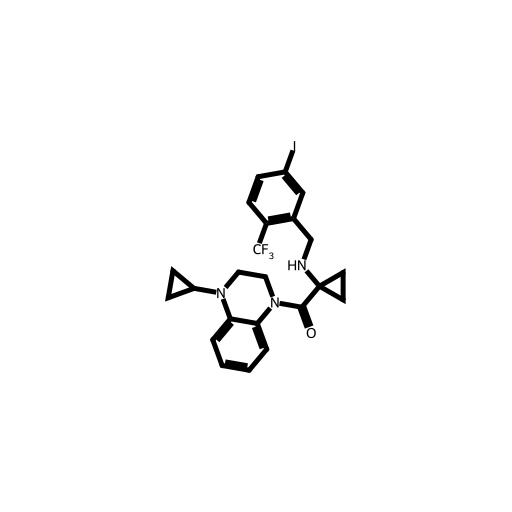 O=C(N1CCN(C2CC2)c2ccccc21)C1(NCc2cc(I)ccc2C(F)(F)F)CC1